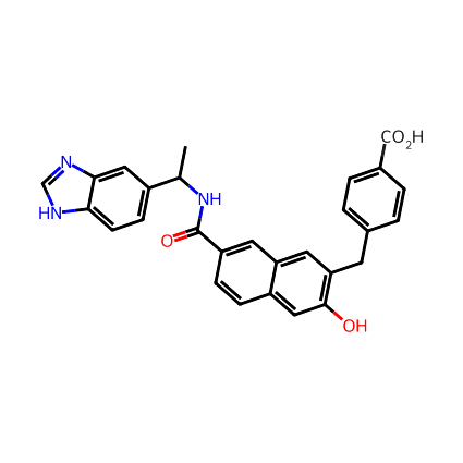 CC(NC(=O)c1ccc2cc(O)c(Cc3ccc(C(=O)O)cc3)cc2c1)c1ccc2[nH]cnc2c1